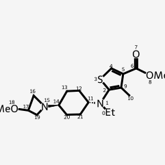 CCN(c1scc(C(=O)OC)c1C)[C@H]1CC[C@H](N2CC(OC)C2)CC1